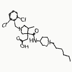 CCCCCCN1CCC(NC(=O)C2(CC(=O)O)CN(Cc3c(Cl)cccc3Cl)CC2C)CC1